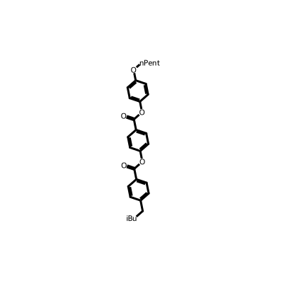 CCCCCOc1ccc(OC(=O)c2ccc(OC(=O)c3ccc(CC(C)CC)cc3)cc2)cc1